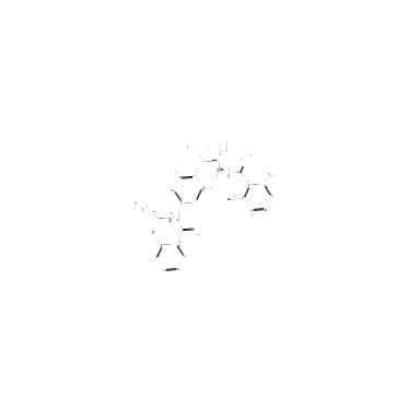 N#CC1Cc2ccccc2C(=O)N1c1ccc(C[C@H](NC(=O)c2c(Cl)cccc2Cl)C(=O)O)cc1